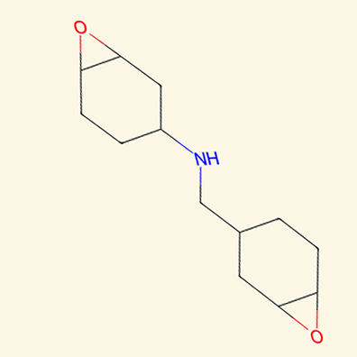 C1CC2OC2CC1CNC1CCC2OC2C1